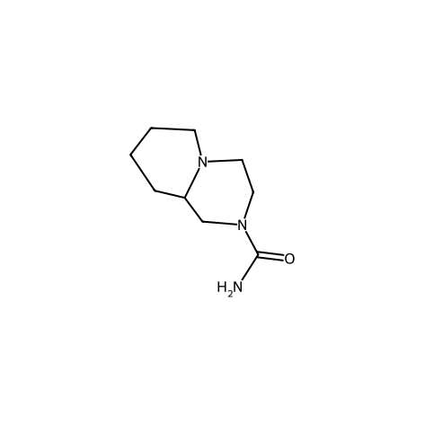 NC(=O)N1CCN2CCCCC2C1